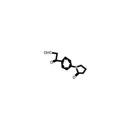 O=CCC(=O)c1ccc(N2CCCC2=O)cc1